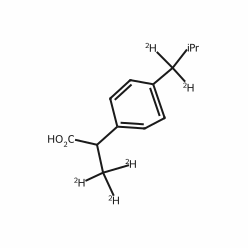 [2H]C([2H])([2H])C(C(=O)O)c1ccc(C([2H])([2H])C(C)C)cc1